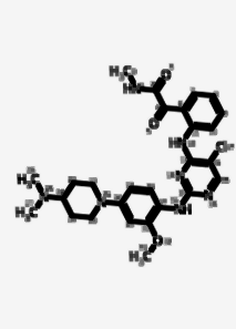 CNC(=O)C(=O)c1ccccc1Nc1nc(Nc2ccc(N3CCC(N(C)C)CC3)cc2OC)ncc1Cl